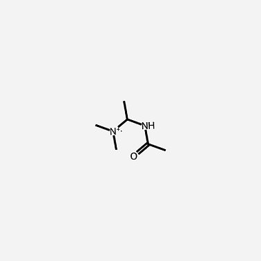 CC(=O)NC(C)[N+](C)C